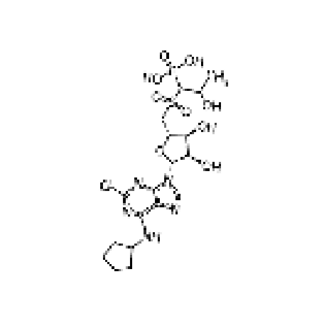 CC(O)C(P(=O)(O)O)S(=O)(=O)C[C@H]1O[C@@H](n2cnc3c(NC4CCCC4)nc(Cl)nc32)[C@H](O)[C@@H]1O